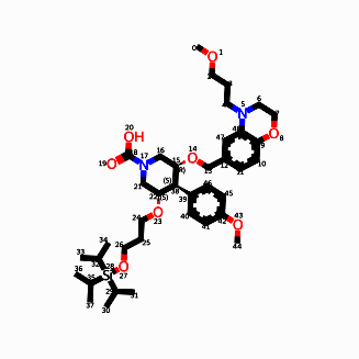 COCCCN1CCOc2ccc(CO[C@H]3CN(C(=O)O)C[C@@H](OCCCO[Si](C(C)C)(C(C)C)C(C)C)[C@@H]3c3ccc(OC)cc3)cc21